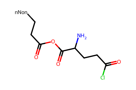 CCCCCCCCCCCC(=O)OC(=O)C(N)CCC(=O)Cl